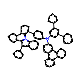 c1ccc(-c2cc(-c3ccccc3)cc(N(c3ccc(-c4cccc5c6ccccc6c6c(-c7ccccc7)c7ccccc7n6c45)cc3)c3ccc4c5ccccc5c5ccccc5c4c3)c2)cc1